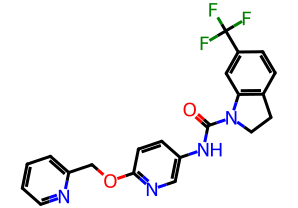 O=C(Nc1ccc(OCc2ccccn2)nc1)N1CCc2ccc(C(F)(F)F)cc21